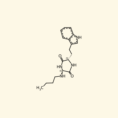 CCCCN[C@H]1NC(=O)[C@H](CCc2c[nH]c3ccccc23)NC1=O